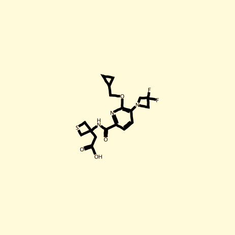 O=C(O)CC1(NC(=O)c2ccc(N3CC(F)(F)C3)c(OCC3CC3)n2)CSC1